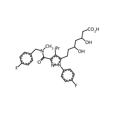 CC(C)c1c(C(=O)N(C)Cc2ccc(F)cc2)nn(-c2ccc(F)cc2)c1CCC(O)CC(O)CC(=O)O